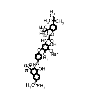 CCC(C)(C)c1ccc(OCC(=O)Nc2cc(Oc3ccc(N=Nc4c(S(=O)(=O)[O-])cc5cc(N(C)C)ccc5c4O)cc3)c(C)c(Cl)c2O)c(C(C)(C)CC)c1.[Na+]